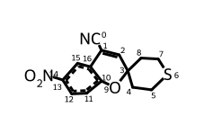 N#CC1=CC2(CCSCC2)Oc2ccc([N+](=O)[O-])cc21